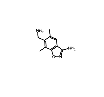 Cc1cc2c(N)noc2c(C)c1CN